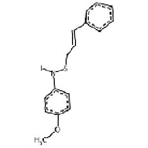 COc1ccc(N(I)SC/C=C/c2ccccc2)cc1